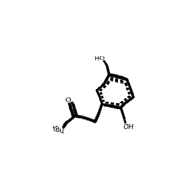 CC(C)(C)C(=O)Cc1cc(O)ccc1O